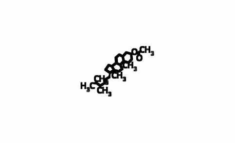 CC(=O)O[C@H]1CC[C@@]2(C)C(CC=C3C2CC[C@@]2(C)C3CC[C@@H]2C/C=C/[C@H](C)C(C)C)C1